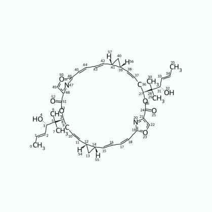 C/C=C/[C@H](O)C(C)(C)[C@@H]1C/C=C\[C@H]2C[C@H]2/C=C/C=C\c2nc(co2)C(=O)O[C@H](C(C)(C)[C@@H](O)/C=C/C)C/C=C\[C@H]2C[C@H]2/C=C/C=C\c2nc(co2)C(=O)O1